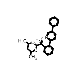 C=C(c1ccccc1-c1ccc(-c2ccccc2)cn1)C1OC(C)CC(C)O1